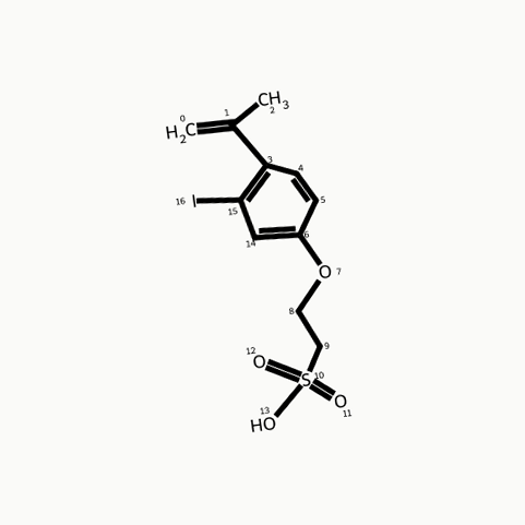 C=C(C)c1ccc(OCCS(=O)(=O)O)cc1I